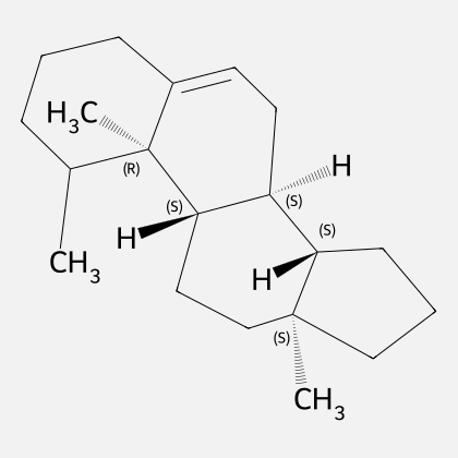 CC1CCCC2=CC[C@H]3[C@@H]4CCC[C@@]4(C)CC[C@@H]3[C@]21C